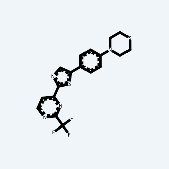 FC(F)(F)c1nccc(-c2ncc(-c3ccc(N4CCSCC4)cc3)s2)n1